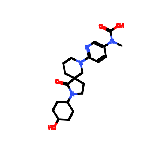 CN(C(=O)O)c1ccc(N2CCCC3(CCN(C4CCC(O)CC4)C3=O)C2)nc1